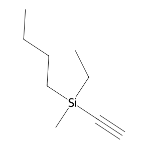 C#C[Si](C)(CC)CCCC